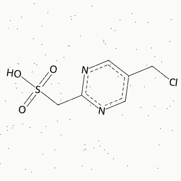 O=S(=O)(O)Cc1ncc(CCl)cn1